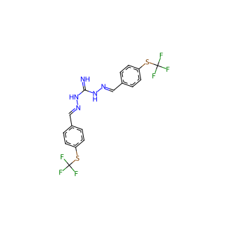 N=C(N/N=C/c1ccc(SC(F)(F)F)cc1)N/N=C/c1ccc(SC(F)(F)F)cc1